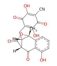 C[C@@]12OC(=O)[C@@H](C(=O)c3c(O)cccc31)[C@@H]2CC1=C(O)C(=O)C(C#N)=C(O)C1=O